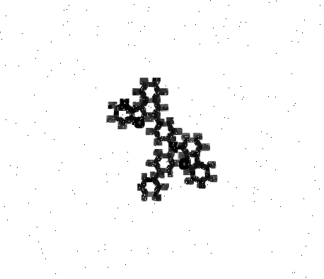 c1ccc(-c2ccc(N(c3ccc(-c4cc5ccccc5c5c4oc4cccnc45)cc3)c3cccc4c3oc3ccccc34)cc2)cc1